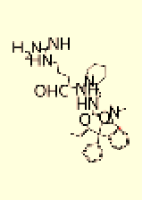 C/C=C(\OC(=O)NCC1CCCCN1N[C@H](C=O)CCCNC(=N)N)C(CC(C)N(C)C)(c1ccccc1)c1ccccc1